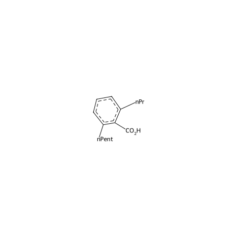 CCCCCc1cccc(CCC)c1C(=O)O